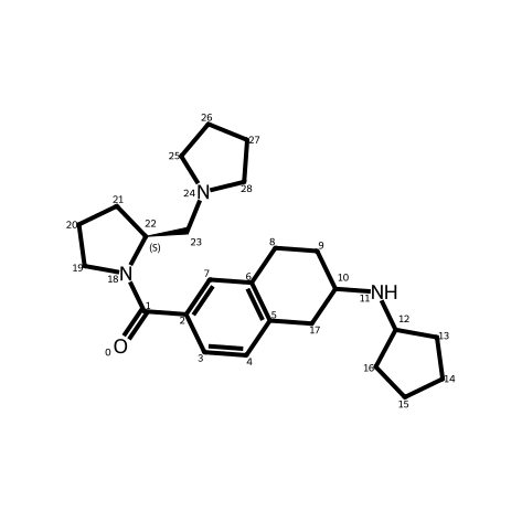 O=C(c1ccc2c(c1)CCC(NC1CCCC1)C2)N1CCC[C@H]1CN1CCCC1